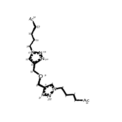 CC(=O)CCCCn1cc(COCc2cn(CCCCC(C)=O)nn2)nn1